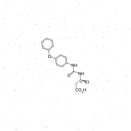 CC[C@@H](CC(=O)O)NC(=O)Nc1ccc(Oc2ccccc2)cc1